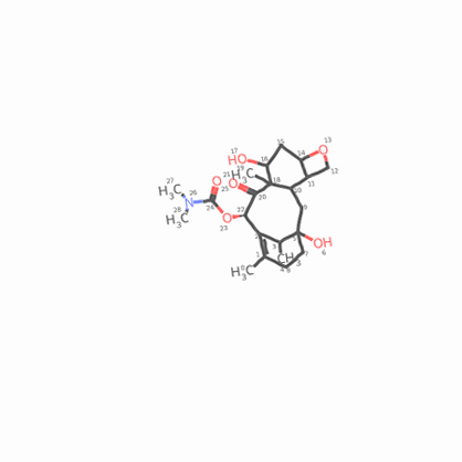 CC1=C2C(C)C(O)(CC1)CC1C3COC3CC(O)C1(C)C(=O)[C@@H]2OC(=O)N(C)C